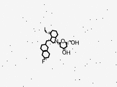 OC[C@@H]1C[C@H](O)C[C@H](N2CC(CC3CCC4=C(CC[C@H](F)C4)C3)C3C2CCC[C@H]3CI)O1